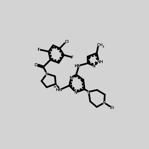 CCN1CCN(c2cc(Nc3cc(C)[nH]n3)nc(N[C@H]3CCN(C(=O)c4cc(F)c(Cl)cc4F)C3)n2)CC1